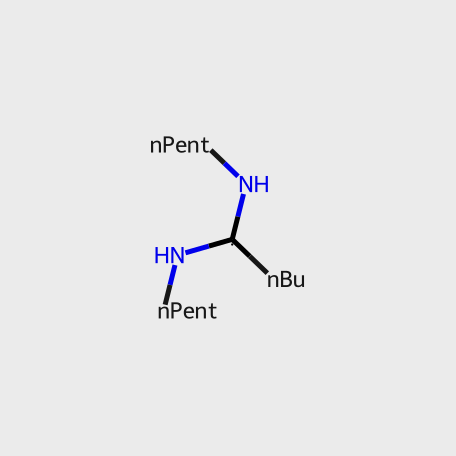 CCCCCN[C](CCCC)NCCCCC